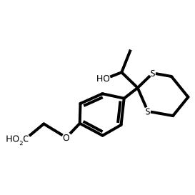 CC(O)C1(c2ccc(OCC(=O)O)cc2)SCCCS1